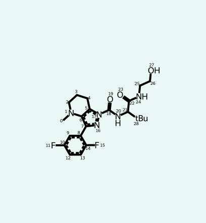 CN1CCCc2c1c(-c1cc(F)ccc1F)nn2C(=O)NC(C(=O)NCCO)C(C)(C)C